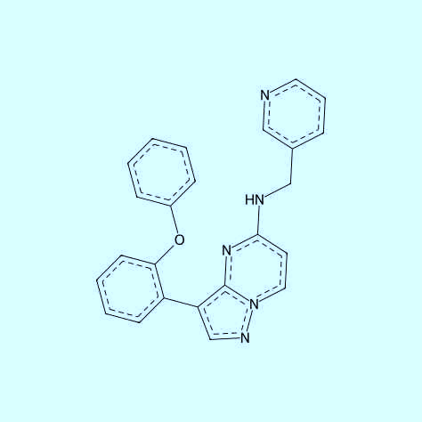 c1ccc(Oc2ccccc2-c2cnn3ccc(NCc4cccnc4)nc23)cc1